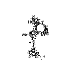 CCC1OC(=O)[C@H](C)[C@@H](OC2CC(C)(OC)C(OC(=O)CCNCCSc3cc4c5c(c3)c(=O)c(C(=O)O)cn5C(C)CC4)[C@H](C)O2)C(C)C(O[C@@H]2O[C@H](C)C[C@H](N(C)C)C2O)[C@](C)(O)CC(C)CN(C)C(C)[C@H]2OC(=O)OC12C